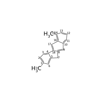 Cc1ccc2c(c1)Cc1cc3cccc(C)c3cc1-2